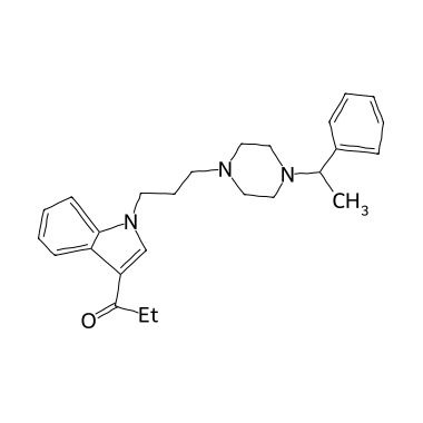 CCC(=O)c1cn(CCCN2CCN(C(C)c3ccccc3)CC2)c2ccccc12